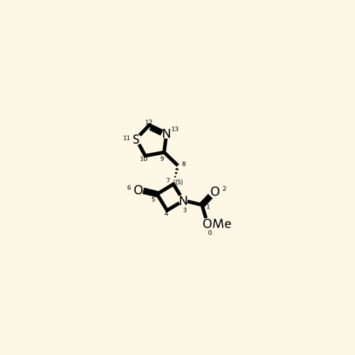 COC(=O)N1CC(=O)[C@@H]1CC1CSC=N1